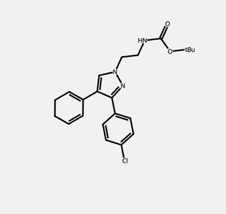 CC(C)(C)OC(=O)NCCn1cc(C2=CCCC=C2)c(-c2ccc(Cl)cc2)n1